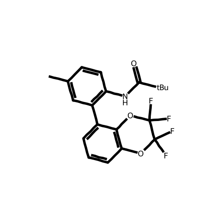 Cc1ccc(NC(=O)C(C)(C)C)c(-c2cccc3c2OC(F)(F)C(F)(F)O3)c1